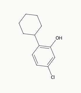 Oc1cc(Cl)ccc1C1CCCCC1